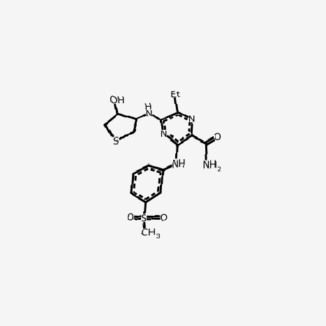 CCc1nc(C(N)=O)c(Nc2cccc(S(C)(=O)=O)c2)nc1NC1CSCC1O